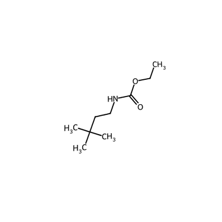 CCOC(=O)NCCC(C)(C)C